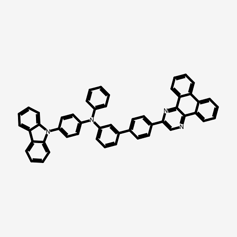 c1ccc(N(c2ccc(-n3c4ccccc4c4ccccc43)cc2)c2cccc(-c3ccc(-c4cnc5c6ccccc6c6ccccc6c5n4)cc3)c2)cc1